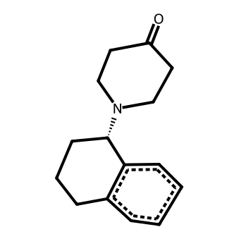 O=C1CCN([C@H]2CCCc3ccccc32)CC1